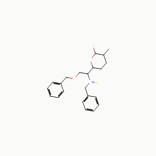 CC1CCC(C(COCc2ccccc2)N(S)Cc2ccccc2)OC1O